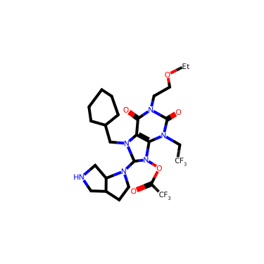 CCOCCn1c(=O)c2c(n(CC(F)(F)F)c1=O)N(OC(=O)C(F)(F)F)C(N1CCC3CNCC31)N2CC1CCCCC1